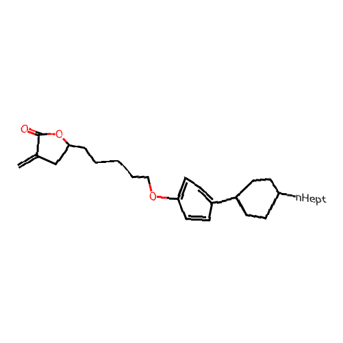 C=C1CC(CCCCCOc2ccc(C3CCC(CCCCCCC)CC3)cc2)OC1=O